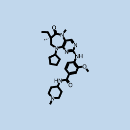 CC[C@]1(C)CN(C2CCCC2)c2nc(Nc3ccc(C(=O)NC4CCN(C)CC4)cc3OC)ncc2N(C)C1=O